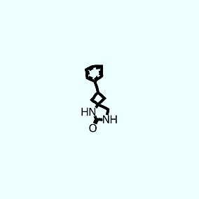 O=C1NCC2(CC(c3ccccc3)C2)N1